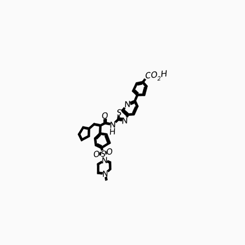 CN1CCN(S(=O)(=O)c2ccc(C(CC3CCCC3)C(=O)Nc3nc4ccc(-c5ccc(C(=O)O)cc5)nc4s3)cc2)CC1